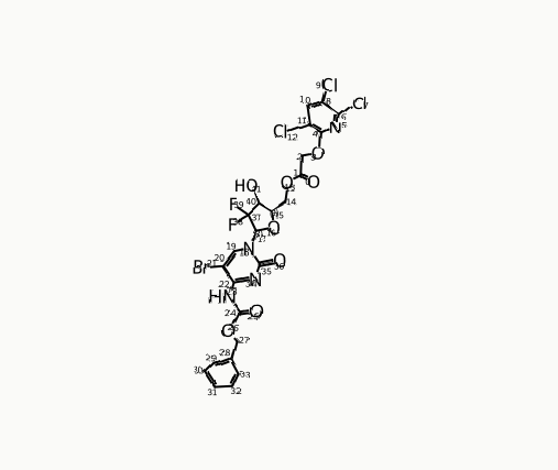 O=C(COc1nc(Cl)c(Cl)cc1Cl)OC[C@H]1O[C@@H](n2cc(Br)c(NC(=O)OCc3ccccc3)nc2=O)C(F)(F)C1O